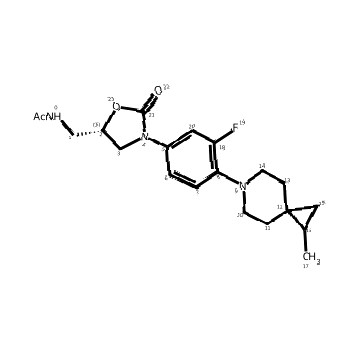 CC(=O)NC[C@H]1CN(c2ccc(N3CCC4(CC3)CC4C)c(F)c2)C(=O)O1